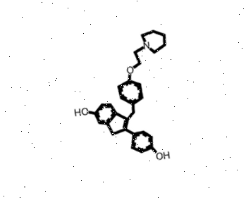 Oc1ccc(C2=C(Cc3ccc(OCCN4CCCCC4)cc3)c3ccc(O)cc3C2)cc1